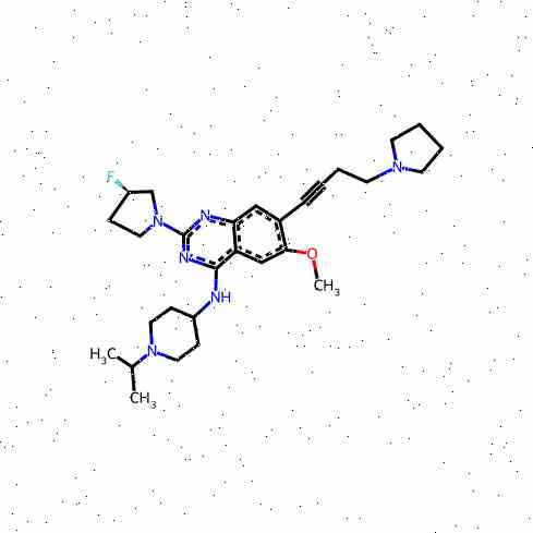 COc1cc2c(NC3CCN(C(C)C)CC3)nc(N3CC[C@@H](F)C3)nc2cc1C#CCCN1CCCC1